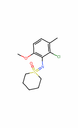 COc1ccc(C)c(Cl)c1N=S1(=O)CCCCC1